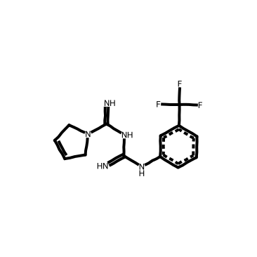 N=C(NC(=N)N1CC=CC1)Nc1cccc(C(F)(F)F)c1